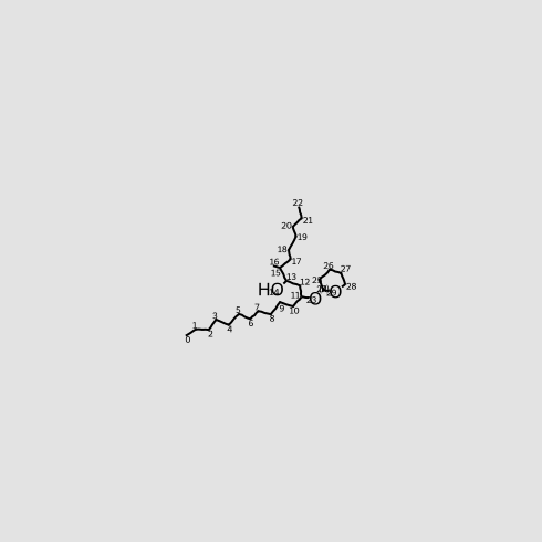 CCCCCCCCCCCC(CC(O)C(C)CCCCCC)O[C@@H]1CCCCO1